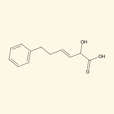 O=C(O)C(O)/C=C/CCc1ccccc1